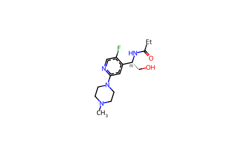 CCC(=O)N[C@H](CO)c1cc(N2CCN(C)CC2)ncc1F